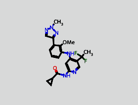 COc1c(Nc2cc(NC(=O)C3CC3)ncc2C(C)(F)F)cccc1-c1cnn(C)n1